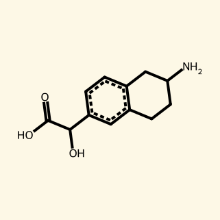 NC1CCc2cc(C(O)C(=O)O)ccc2C1